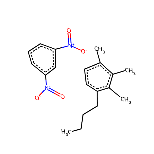 CCCCc1ccc(C)c(C)c1C.O=[N+]([O-])c1cccc([N+](=O)[O-])c1